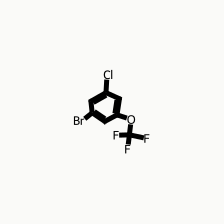 FC(F)(F)Oc1[c]c(Br)cc(Cl)c1